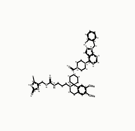 COc1cc2c(cc1OC)[C@]1(CC[C@@H](C(=O)N3CCN(c4ncnc5c4cnn5Cc4ccccc4F)CC3)CC1)N(CCCNC(=O)OCc1oc(=O)oc1C)CC2